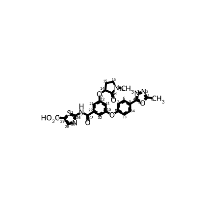 Cc1nnc(-c2ccc(Oc3cc(OC4CCN(C)C4=O)cc(C(=O)Nc4ncc(C(=O)O)s4)c3)cc2)o1